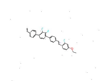 C=Cc1ccc(-c2ccc(-c3ccc(/C=C/c4ccc(OCC)cc4F)cc3)c(F)c2F)cc1